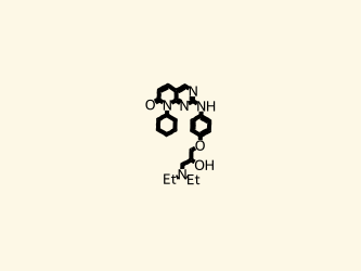 CCN(CC)CC(O)COc1ccc(Nc2ncc3ccc(=O)n(C4CCCCC4)c3n2)cc1